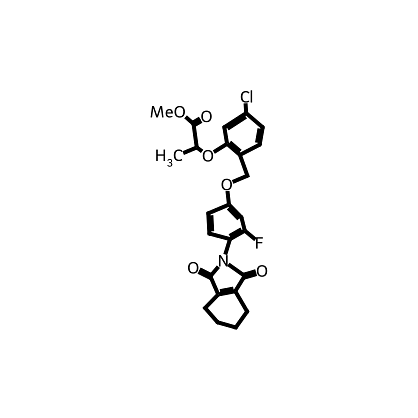 COC(=O)C(C)Oc1cc(Cl)ccc1COc1ccc(N2C(=O)C3=C(CCCC3)C2=O)c(F)c1